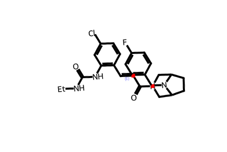 CCNC(=O)Nc1cc(Cl)ccc1/C=C/C(=O)N1CC2CCC(C1)N2Cc1ccc(F)cc1